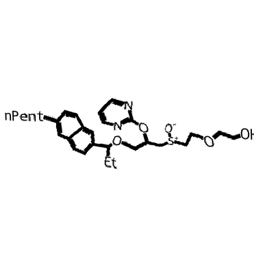 CCCCCc1ccc2cc(C(CC)OCC(C[S+]([O-])CCOCCO)Oc3ncccn3)ccc2c1